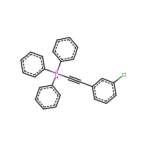 Clc1cccc(C#C[PH](c2ccccc2)(c2ccccc2)c2ccccc2)c1